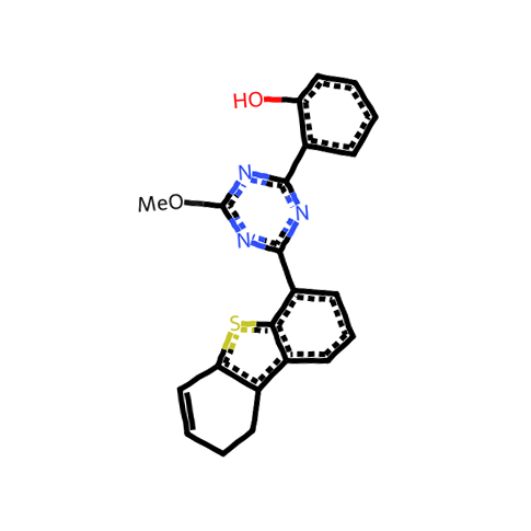 COc1nc(-c2ccccc2O)nc(-c2cccc3c4c(sc23)C=CCC4)n1